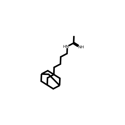 CC(=N)NCCCCC12CC3CC(CC(C3)C1)C2